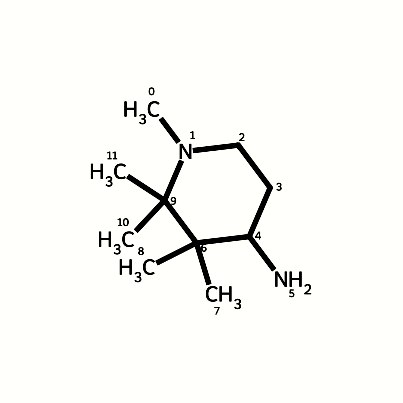 CN1CCC(N)C(C)(C)C1(C)C